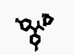 CC(C)B(c1ccc(F)cc1)c1ccc(F)cc1.c1c[nH]cn1